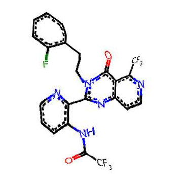 O=C(Nc1cccnc1-c1nc2ccnc(C(F)(F)F)c2c(=O)n1CCc1ccccc1F)C(F)(F)F